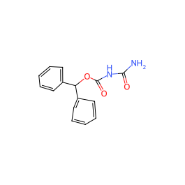 NC(=O)NC(=O)OC(c1ccccc1)c1ccccc1